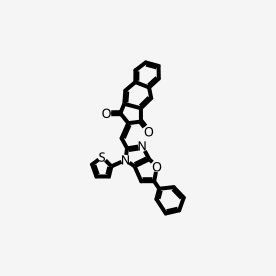 O=C1C(=Cc2nc3oc(-c4ccccc4)cc3n2-c2cccs2)C(=O)c2cc3ccccc3cc21